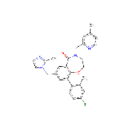 Cc1ccnc(CN2CCOc3c(cc(Cn4ccnc4C)cc3-c3ccc(F)cc3C)C2=O)c1